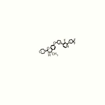 C[C@H](NC(=O)N1CCOCC1)c1ccc(OC2CCN(c3ccnc(N4CCC(F)(F)C4)c3F)C2)cc1